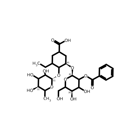 CCC1CC(C(=O)O)C[C@@H](O[C@@H]2OC(CO)[C@H](O)C(O)C2OC(=O)c2ccccc2)C1O[C@@H]1OC(C)[C@@H](O)C(O)C1O